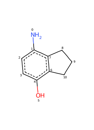 Nc1ccc(O)c2c1CCC2